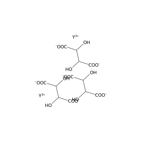 O=C([O-])C(O)C(O)C(=O)[O-].O=C([O-])C(O)C(O)C(=O)[O-].O=C([O-])C(O)C(O)C(=O)[O-].[Y+3].[Y+3]